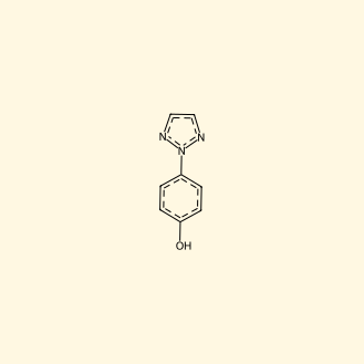 Oc1ccc(-n2nccn2)cc1